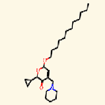 CCCCCCCCCCCCOC1C=C(CN2CCCCC2)C(=O)C(C2CC2)O1